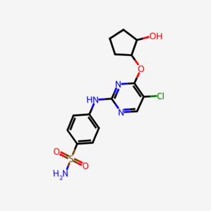 NS(=O)(=O)c1ccc(Nc2ncc(Cl)c(OC3CCCC3O)n2)cc1